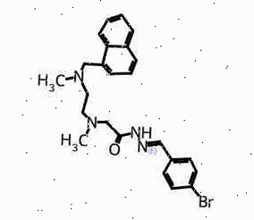 CN(CCN(C)Cc1cccc2ccccc12)CC(=O)N/N=C/c1ccc(Br)cc1